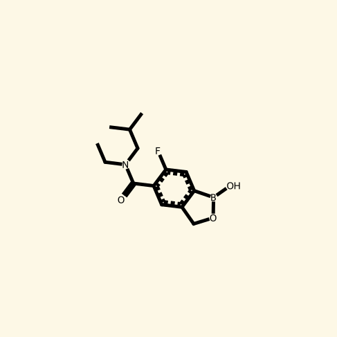 CCN(CC(C)C)C(=O)c1cc2c(cc1F)B(O)OC2